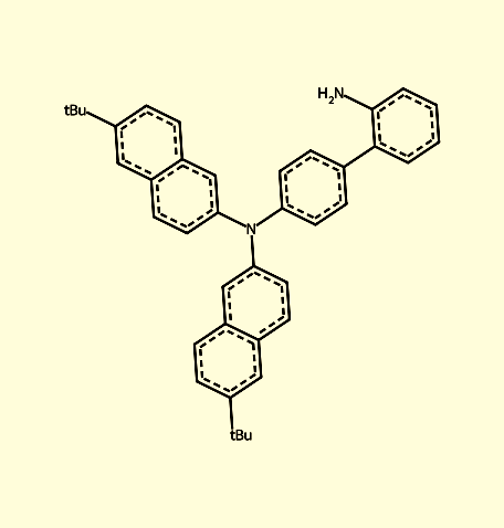 CC(C)(C)c1ccc2cc(N(c3ccc(-c4ccccc4N)cc3)c3ccc4cc(C(C)(C)C)ccc4c3)ccc2c1